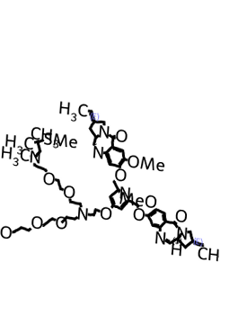 C/C=C1\CC2C=Nc3cc(OCc4cc(OCCN(CCOCCOCCCOC)CCOCCOCCN(C)CC(C)(C)SC)cc(COc5cc6c(cc5OC)C(=O)N5C/C(=C/C)C[C@H]5C=N6)n4)c(OC)cc3C(=O)N2C1